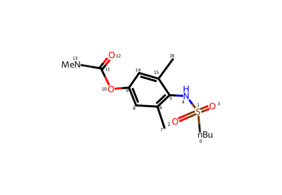 CCCCS(=O)(=O)Nc1c(C)cc(OC(=O)NC)cc1C